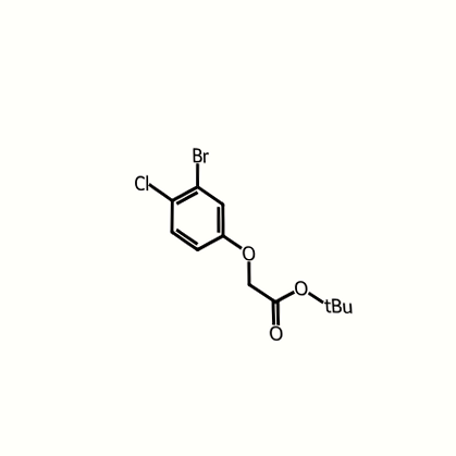 CC(C)(C)OC(=O)COc1ccc(Cl)c(Br)c1